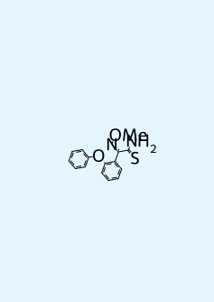 CON=C(C(N)=S)c1ccccc1Oc1ccccc1